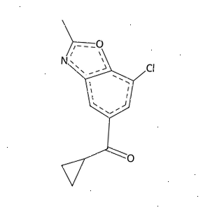 Cc1nc2cc(C(=O)C3CC3)cc(Cl)c2o1